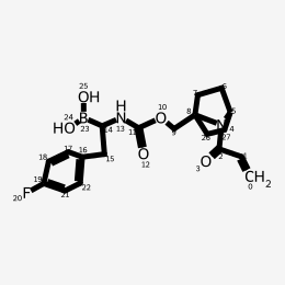 C=CC(=O)N1C2CCC1(COC(=O)NC(Cc1ccc(F)cc1)B(O)O)CC2